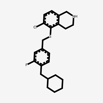 Fc1cc(CSc2c(Cl)ccc3c2CCNC3)ccc1CC1CCCCC1